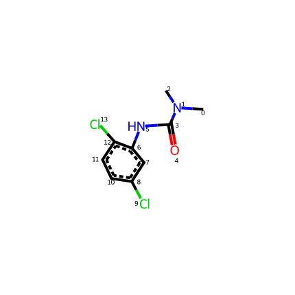 CN(C)C(=O)Nc1cc(Cl)ccc1Cl